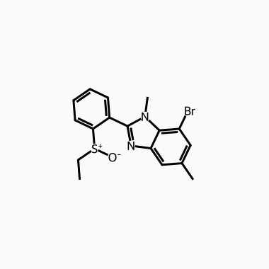 CC[S+]([O-])c1ccccc1-c1nc2cc(C)cc(Br)c2n1C